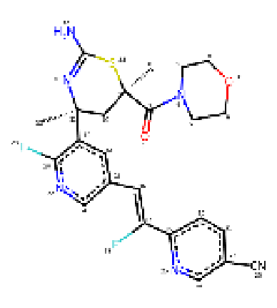 C[C@]1(C(=O)N2CCOCC2)C[C@@](C)(c2cc(/C=C(\F)c3ccc(C#N)cn3)cnc2F)N=C(N)S1